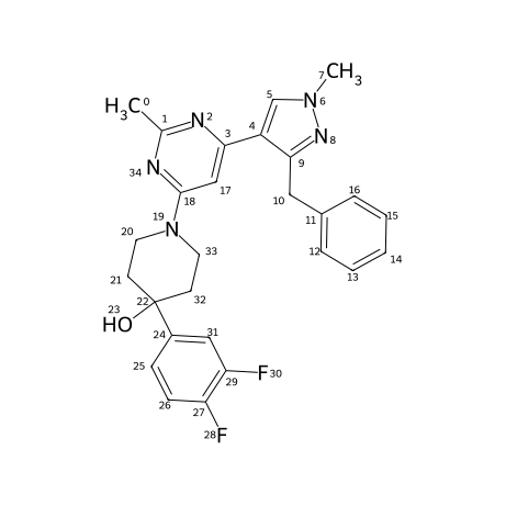 Cc1nc(-c2cn(C)nc2Cc2ccccc2)cc(N2CCC(O)(c3ccc(F)c(F)c3)CC2)n1